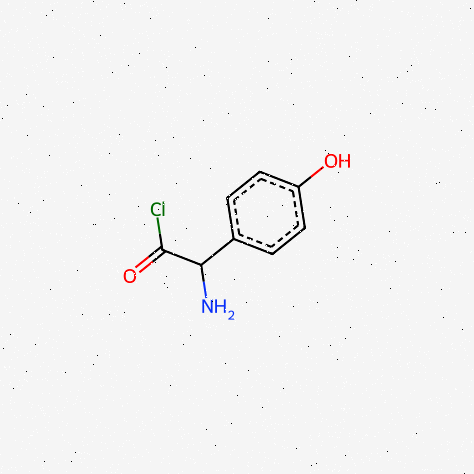 NC(C(=O)Cl)c1ccc(O)cc1